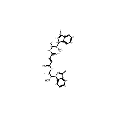 Cc1nn([C@H](N)[C@H](C)OC(=O)/C=C/C(=O)O[C@@H](C)[C@@H](N)n2nc(C)c3ccccc32)c2ccccc12